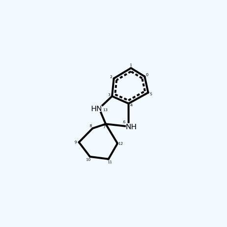 c1ccc2c(c1)NC1(CCCCC1)N2